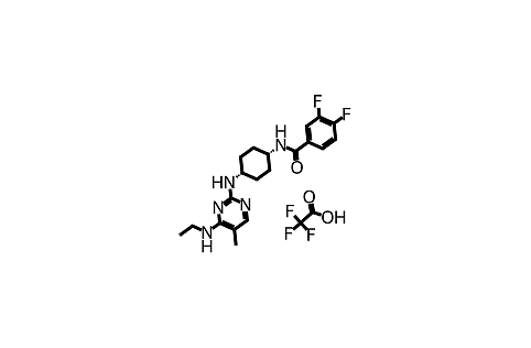 CCNc1nc(N[C@H]2CC[C@@H](NC(=O)c3ccc(F)c(F)c3)CC2)ncc1C.O=C(O)C(F)(F)F